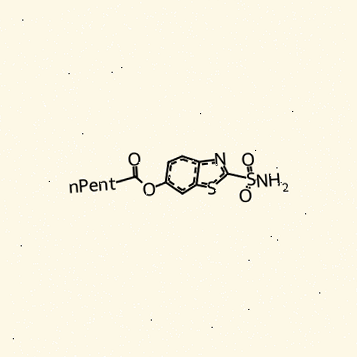 CCCCCC(=O)Oc1ccc2nc(S(N)(=O)=O)sc2c1